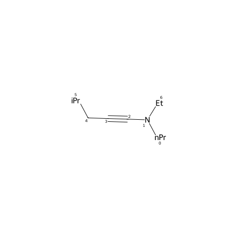 CCCN(C#CCC(C)C)CC